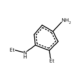 CCNc1ccc(N)cc1CC